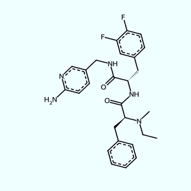 CCN(C)[C@@H](Cc1ccccc1)C(=O)N[C@@H](Cc1ccc(F)c(F)c1)C(=O)NCc1ccc(N)nc1